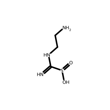 N=C(NCCN)S(=O)O